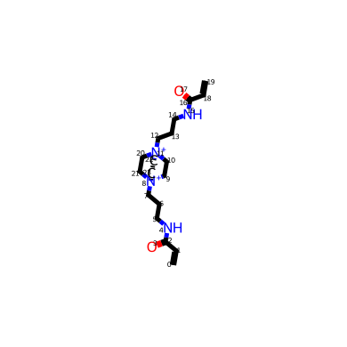 C=CC(=O)NCCC[N+]12CC[N+](CCCNC(=O)C=C)(CC1)CC2